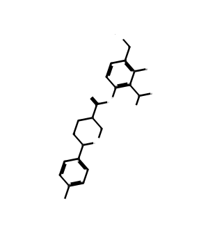 CC(=O)Cc1ccc(OC(=O)C2CCC(c3ccc(C)cc3)OC2)c(C(F)F)c1F